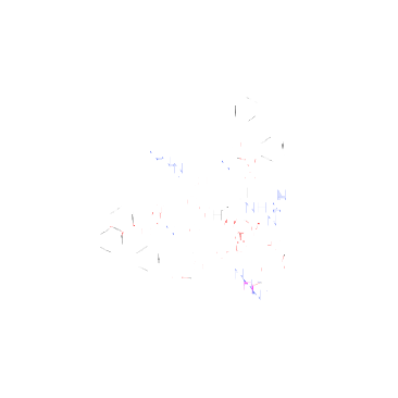 CC(=O)OC[C@H]1O[C@@H](O[C@H]2[C@H](O[C@H]3O[C@H]([C@@H](C)N(Cc4ccccc4)C(=O)OCc4ccccc4)[C@@H](OCc4ccccc4)C[C@H]3N=[N+]=[N-])[C@@H](NC(=O)OCc3ccccc3)[C@H](OCc3ccccc3)[C@H]3NC(=O)O[C@@H]32)[C@H](OC(C)=O)[C@@H]1O[C@H]1O[C@@H](CN=[N+]=[N-])[C@@H](OC(C)=O)[C@H](OC(C)=O)[C@H]1N=[N+]=[N-]